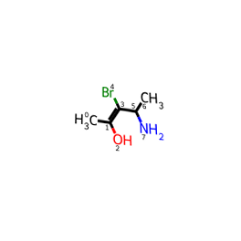 C/C(O)=C(\Br)C(C)N